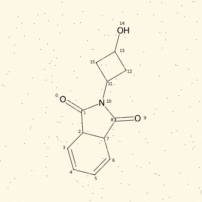 O=C1C2C=CC=CC2C(=O)N1C1CC(O)C1